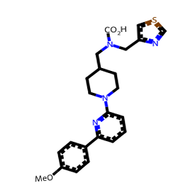 COc1ccc(-c2cccc(N3CCC(CN(Cc4cscn4)C(=O)O)CC3)n2)cc1